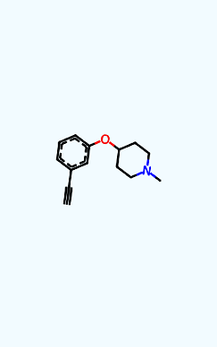 C#Cc1cccc(OC2CCN(C)CC2)c1